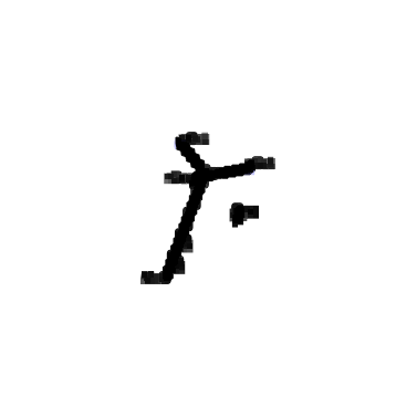 CCCCCCCC/C=C\CCCCCCCCOCC(OCCCCCCCC/C=C\CCCCCCCC)C(CCCCCCCCCCCC)OC(=O)COCCOCCOCCOCCOC(=O)CNCCOC(=O)CNCCOC.O=C(O)C(F)(F)F